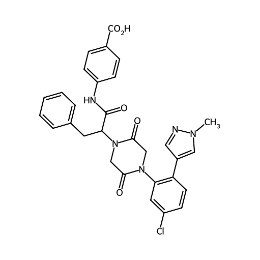 Cn1cc(-c2ccc(Cl)cc2N2CC(=O)N(C(Cc3ccccc3)C(=O)Nc3ccc(C(=O)O)cc3)CC2=O)cn1